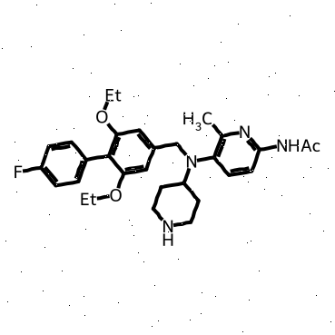 CCOc1cc(CN(c2ccc(NC(C)=O)nc2C)C2CCNCC2)cc(OCC)c1-c1ccc(F)cc1